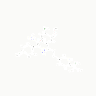 CNC(=O)C(NC(CCc1ccc(C(F)(F)F)nc1)c1ccc(F)c(OC)c1)c1ccc(F)cc1